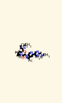 C=C/N=C(\C=C/C)C(=O)[C@@H]1C[C@H]2C[C@H]2N1C(=O)Cn1nc(C(C)=O)c2cc(-c3cnc(CN(C)C)nc3)ncc21